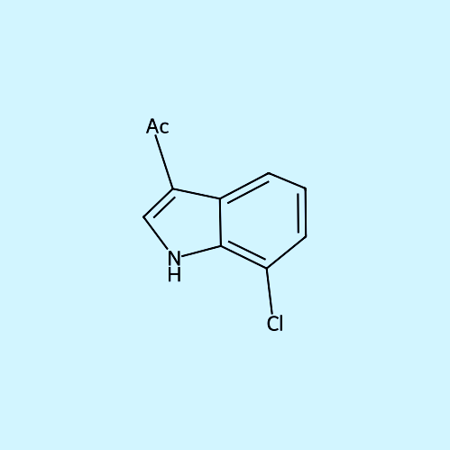 CC(=O)c1c[nH]c2c(Cl)cccc12